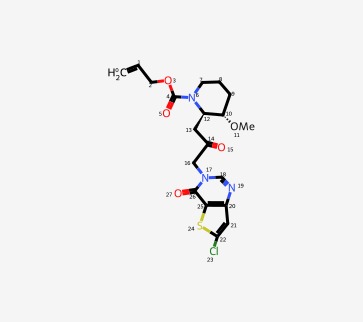 C=CCOC(=O)N1CCC[C@H](OC)[C@H]1CC(=O)Cn1cnc2cc(Cl)sc2c1=O